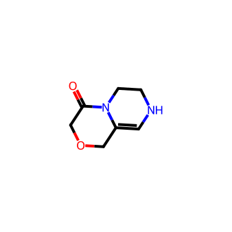 O=C1COCC2=CNCCN12